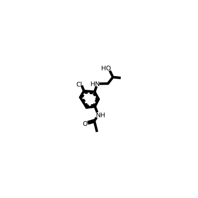 CC(=O)Nc1ccc(Cl)c(NCC(C)O)c1